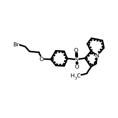 CCc1cn2ccccc2c1S(=O)(=O)c1ccc(OCCCBr)cc1